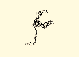 C=C(COCC(O)CO)[C@@H]1CC[C@]2(C(=O)NCCCCCCCCCCC(=O)O)CC[C@]3(C)[C@H](CCC4[C@@]5(C)CC[C@H](O)C(C)(C)[C@@H]5CC[C@]43C)[C@@H]12